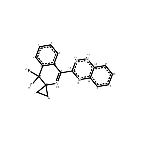 FC1(F)c2ccccc2C(c2nnc3ccccc3n2)=NC12CC2